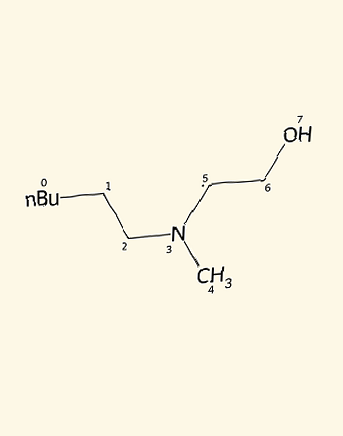 CCCCCCN(C)[CH]CO